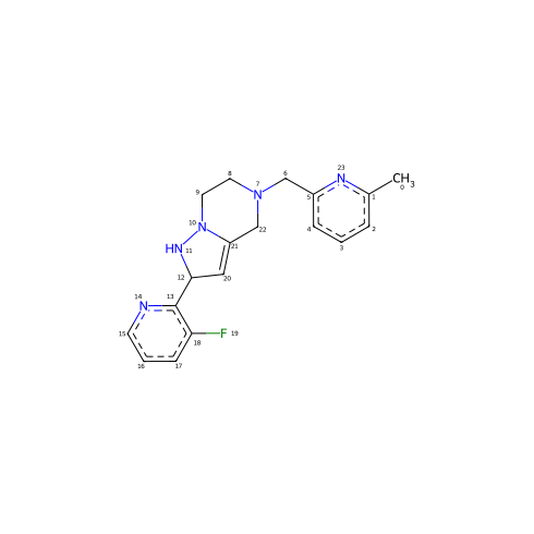 Cc1cccc(CN2CCN3NC(c4ncccc4F)C=C3C2)n1